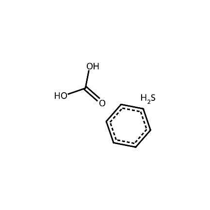 O=C(O)O.S.c1ccccc1